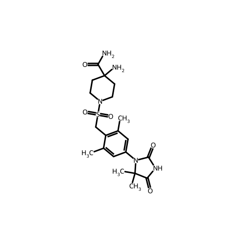 Cc1cc(N2C(=O)NC(=O)C2(C)C)cc(C)c1CS(=O)(=O)N1CCC(N)(C(N)=O)CC1